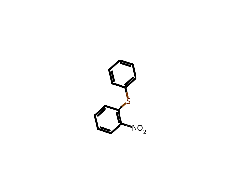 O=[N+]([O-])c1ccc[c]c1Sc1ccccc1